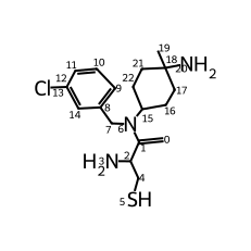 C=C(C(N)CS)N(Cc1cccc(Cl)c1)C1CCC(C)(N)CC1